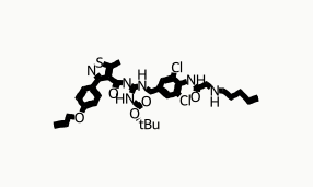 C=CCCCNCC(=O)Nc1c(Cl)cc(CN/C(=N/C(=O)c2c(-c3ccc(OCC=C)cc3)nsc2C)NC(=O)OC(C)(C)C)cc1Cl